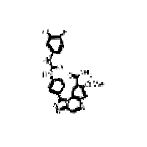 COc1cc2ncc3nnc(-c4ccc(NC(=O)Nc5ccc(F)c(Cl)c5)cc4)n3c2cc1C(N)=O